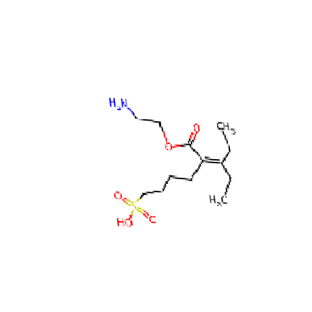 CCC(CC)=C(CCCCS(=O)(=O)O)C(=O)OCCN